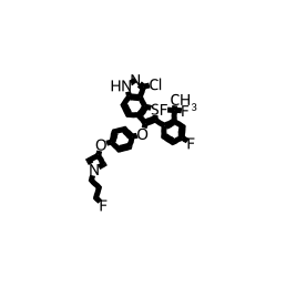 CC(F)(F)c1cc(F)ccc1-c1sc2c(ccc3[nH]nc(Cl)c32)c1Oc1ccc(OC2CN(CCCF)C2)cc1